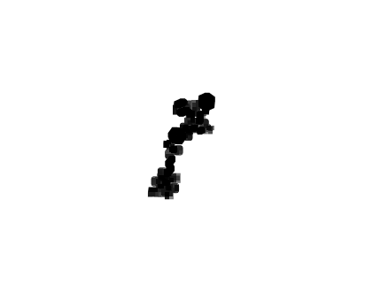 CO[PH](=O)C(NC(=O)CCCOC(=O)N(C)c1ccc2c(c1)OB([C@@H](CC(C)C)NC(=O)[C@@H](Cc1ccccc1)NC(=O)c1cnccn1)O2)P(=O)(O)O